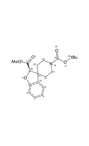 COC(=O)[C@@H]1Oc2ccccc2C12CCN(C(=O)OC(C)(C)C)CC2